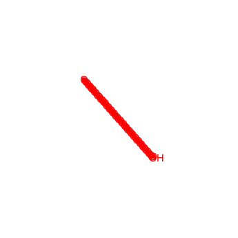 COCCOCCOCCOCCOCCOCCOCCOCCOCCOCCOCCOCCOCCOCCOCCOCCOCCOCCOCCOCCOCCOCCOCCOCCOCCOCCOCCOCCOCCOCCOCCOCCOCCOCCOCCOCCOCCOCCOCCOCCOCCOCCOCCOCCOCCOC(=O)O